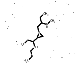 CCCNC(CC)C1CN1CC(CC)NC